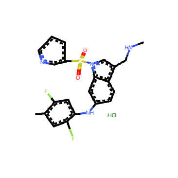 CNCc1cn(S(=O)(=O)c2cccnc2)c2cc(Nc3cc(F)c(C)cc3F)ccc12.Cl